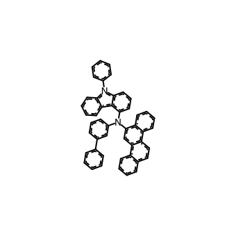 c1ccc(-c2cccc(N(c3cc4c5ccccc5ccc4c4ccccc34)c3cccc4c3c3ccccc3n4-c3ccccc3)c2)cc1